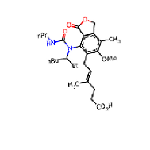 CCCCC(CC)N(C(=O)NCCC)c1c(C/C=C(\C)CCC(=O)O)c(OC)c(C)c2c1C(=O)OC2